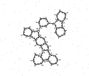 c1cc(-n2c3ccccc3c3ccccc32)cc(-n2c3ccccc3c3cc4c(cc32)cc2c3ccccc3c3ccccc3n42)c1